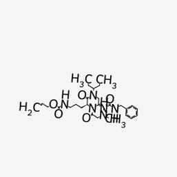 C=CCOC(=O)NCCC[C@H]1C(=O)N(C(CC)CC)C[C@H]2N1C(=O)CN(C)N2C(=O)NCc1ccccc1